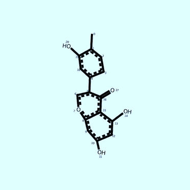 Cc1ccc(-c2coc3cc(O)cc(O)c3c2=O)cc1O